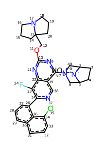 O=C(O)N1C2CCC1CN(c1nc(OCC34CCCN3CCC4)nc3c(F)c(-c4cccc5cccc(Cl)c45)ncc13)C2